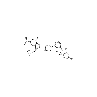 C[C@]1(c2ccc(Cl)cc2F)Oc2cccc(C3=CC[C@@H](Cc4nc5c(F)cc(C(=O)O)cc5n4C[C@@H]4CCO4)OC3)c2O1